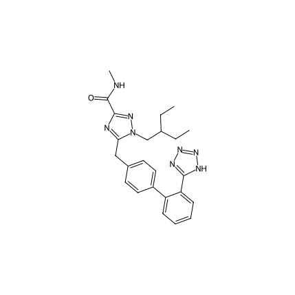 CCC(CC)Cn1nc(C(=O)NC)nc1Cc1ccc(-c2ccccc2-c2nnn[nH]2)cc1